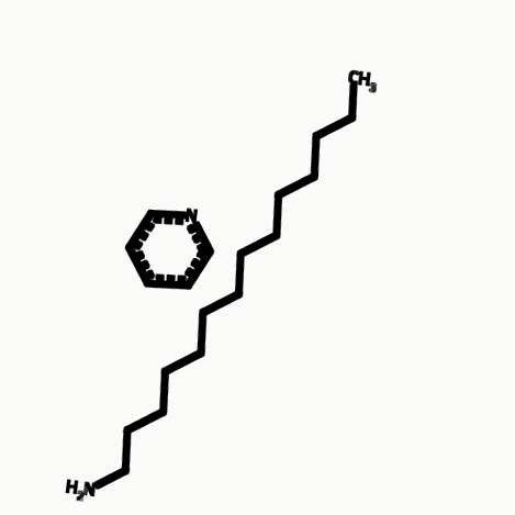 CCCCCCCCCCCCCCN.c1ccncc1